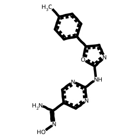 Cc1ccc(-c2cnc(Nc3ncc(/C(N)=N/O)cn3)o2)cc1